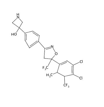 CC1C(C2(C(F)(F)F)CC(c3ccc(C4(O)CNC4)cc3)=NO2)=CC(Cl)=C(Cl)C1C(F)(F)F